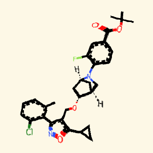 Cc1cccc(Cl)c1-c1noc(C2CC2)c1CO[C@@H]1C[C@@H]2C[C@H]1CN2c1ccc(C(=O)OC(C)(C)C)cc1F